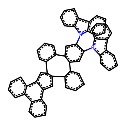 c1ccc2c(c1)-c1cc(-n3c4ccccc4c4ccccc43)c(-n3c4ccccc4c4ccccc43)cc1-c1ccccc1-c1cc3c4ccccc4c4ccccc4c3cc1-2